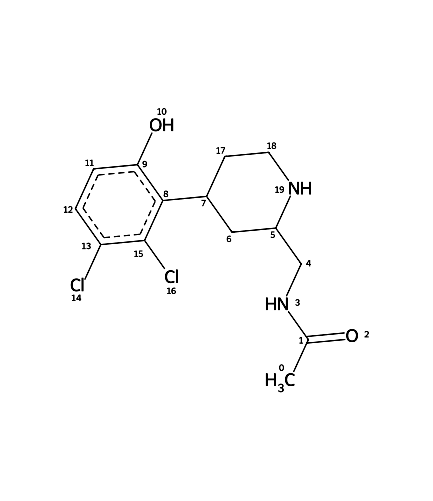 CC(=O)NCC1CC(c2c(O)ccc(Cl)c2Cl)CCN1